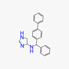 C1=NC(NC(c2ccccc2)c2ccc(-c3ccccc3)cc2)CN1